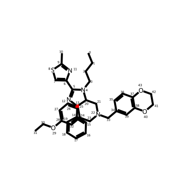 CCCCN1C(c2csc(C)n2)=NC(c2ccccc2)C1CN(Cc1cccc(OCC)c1)Cc1ccc2c(c1)OCCO2